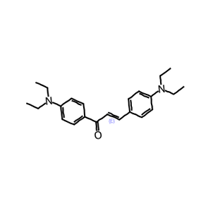 CCN(CC)c1ccc(/C=C/C(=O)c2ccc(N(CC)CC)cc2)cc1